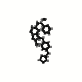 CCC[C@@H](Oc1ncc2cc(C(F)(F)F)n(Cc3ccc(CN4CCCC4)cc3)c2n1)c1ccncc1